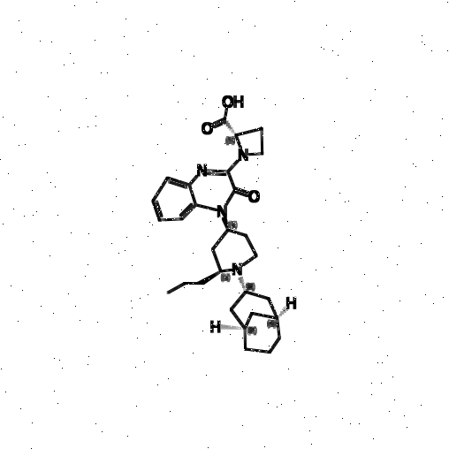 CCC[C@H]1C[C@@H](n2c(=O)c(N3CC[C@H]3C(=O)O)nc3ccccc32)CCN1[C@H]1C[C@@H]2CCC[C@@H](C2)C1